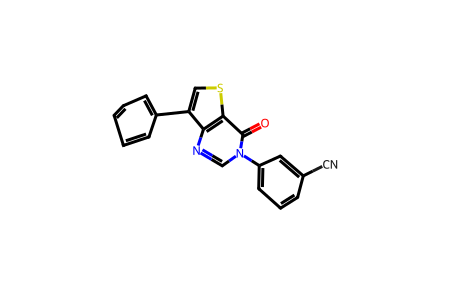 N#Cc1cccc(-n2cnc3c(-c4ccccc4)csc3c2=O)c1